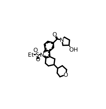 CCS(=O)(=O)n1c2c(c3cc(C(=O)N4CC[C@@H](O)C4)ccc31)CC(C1CCOCC1)CC2